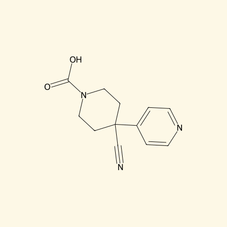 N#CC1(c2ccncc2)CCN(C(=O)O)CC1